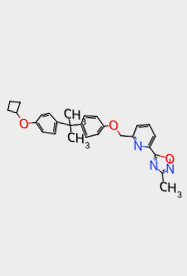 Cc1noc(-c2cccc(COc3ccc(C(C)(C)c4ccc(OC5CCC5)cc4)cc3)n2)n1